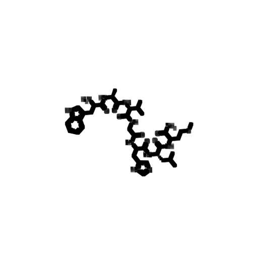 CSCCC(NC(=O)[C@H](CC(C)C)NC(=O)C(Cc1cnc[nH]1)NC(=O)CNC(=O)[C@@H](NC(=O)[C@H](C)NC(=O)C(N)Cc1c[nH]c2ccccc12)C(C)C)C(N)=O